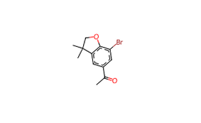 CC(=O)c1cc(Br)c2c(c1)C(C)(C)CO2